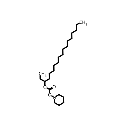 CCCCCCCCCCCCCCCC(CC)OC(=O)ON1CCCCC1